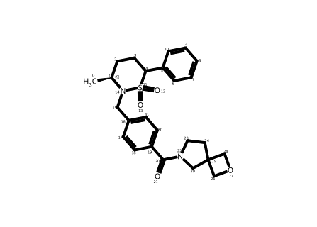 C[C@H]1CCC(c2ccccc2)S(=O)(=O)N1Cc1ccc(C(=O)N2CCC3(COC3)C2)cc1